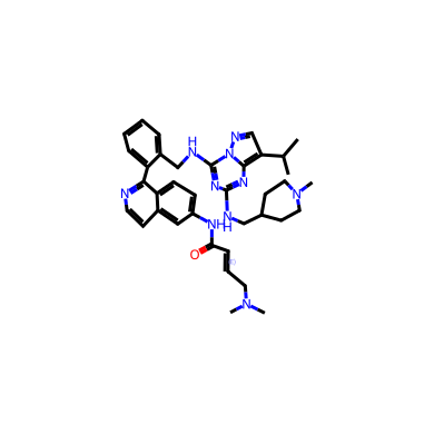 CC(C)c1cnn2c(NCc3ccccc3-c3nccc4cc(NC(=O)/C=C/CN(C)C)ccc34)nc(NCC3CCN(C)CC3)nc12